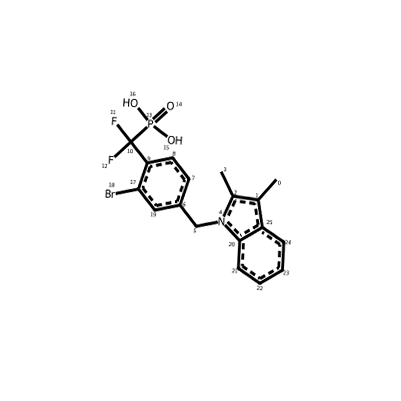 Cc1c(C)n(Cc2ccc(C(F)(F)P(=O)(O)O)c(Br)c2)c2ccccc12